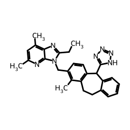 CCc1nc2c(C)cc(C)nc2n1Cc1ccc2c(c1C)CCc1ccccc1C2c1nnn[nH]1